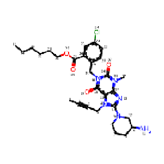 CC#CCn1c(N2CCCC(N)C2)nc2c1c(=O)n(Cc1ccc(Cl)cc1C(=O)OCCCCCC)c(=O)n2C